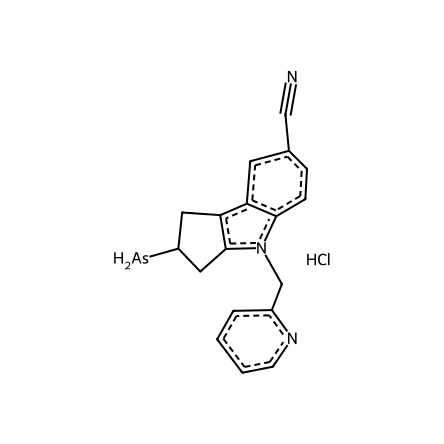 Cl.N#Cc1ccc2c(c1)c1c(n2Cc2ccccn2)CC([AsH2])C1